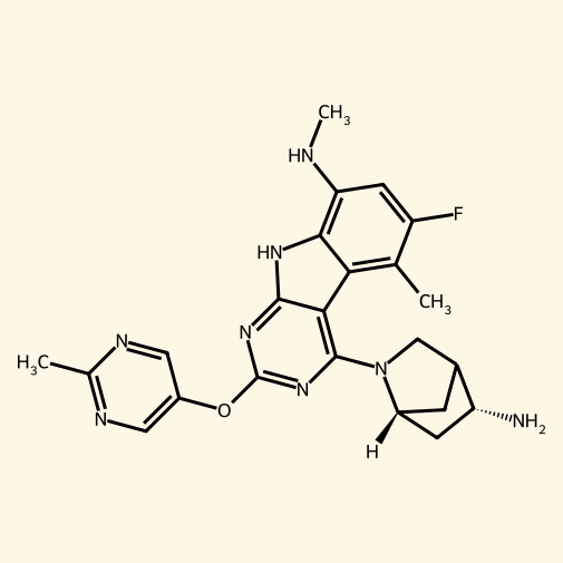 CNc1cc(F)c(C)c2c1[nH]c1nc(Oc3cnc(C)nc3)nc(N3CC4C[C@@H]3C[C@H]4N)c12